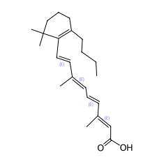 CCCCC1=C(/C=C/C(C)=C/C=C/C(C)=C/C(=O)O)C(C)(C)CCC1